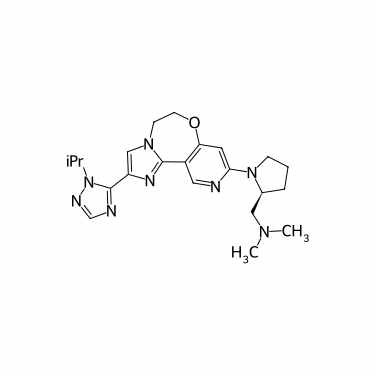 CC(C)n1ncnc1-c1cn2c(n1)-c1cnc(N3CCC[C@H]3CN(C)C)cc1OCC2